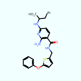 CC(C)CC(Nc1ccc(C(=O)NCc2ccc(Oc3ccccc3)s2)c(N)n1)C(=O)O